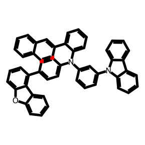 c1cc(N(c2ccc(-c3cccc4oc5ccccc5c34)cc2)c2ccccc2-c2ccc3ccccc3c2)cc(-n2c3ccccc3c3ccccc32)c1